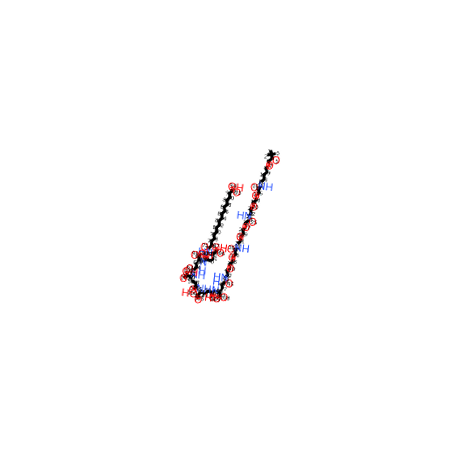 CC(C)(C)C(=O)COCCCCCNC(=O)COCCOCCNC(=O)COCCOCCNC(=O)COCCOCCNC(=O)CC[C@H](NC(=O)CC[C@H](NC(=O)CC[C@H](NC(=O)CC[C@H](NC(=O)CC[C@H](NC(=O)CCCCCCCCCCCCCCCCC(=O)O)C(=O)O)C(=O)O)C(=O)O)C(=O)O)C(=O)O